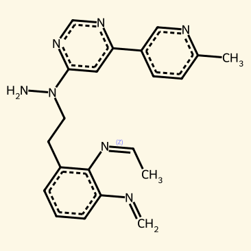 C=Nc1cccc(CCN(N)c2cc(-c3ccc(C)nc3)ncn2)c1/N=C\C